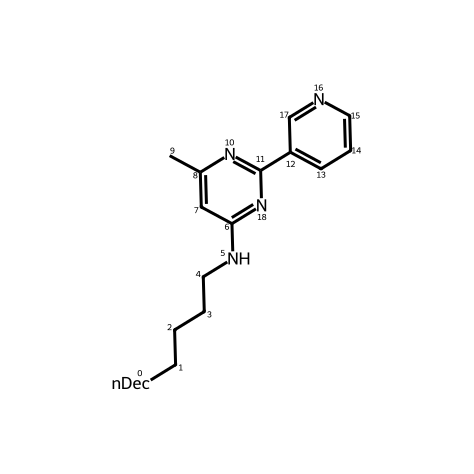 CCCCCCCCCCCCCCNc1cc(C)nc(-c2cccnc2)n1